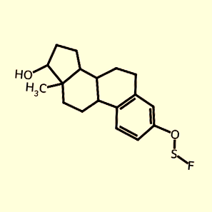 CC12CCC3c4ccc(OSF)cc4CCC3C1CCC2O